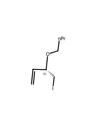 C=C[C@@H](CI)OCCCC